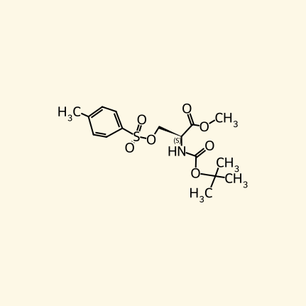 COC(=O)[C@H](COS(=O)(=O)c1ccc(C)cc1)NC(=O)OC(C)(C)C